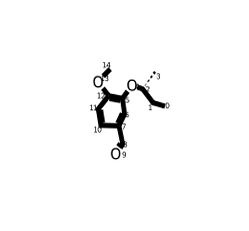 CC[C@@H](C)Oc1cc(C=O)ccc1OC